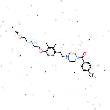 Cc1c(CCN2CCN(C(=O)c3ccc(C(F)(F)F)cc3)CC2)ccc(OCCNCCOC(C)C)c1C